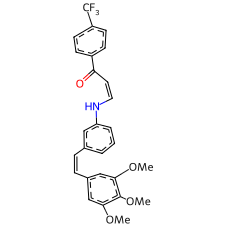 COc1cc(/C=C\c2cccc(N/C=C\C(=O)c3ccc(C(F)(F)F)cc3)c2)cc(OC)c1OC